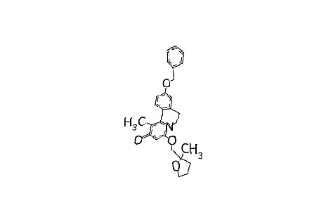 Cc1c2n(c(OCC3(C)CCCO3)cc1=O)CCc1cc(OCc3ccccc3)ccc1-2